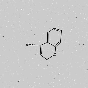 CCCCCC1=CCOc2ccccc21